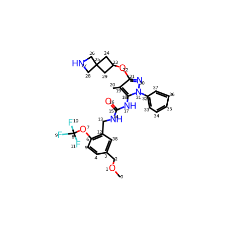 COCc1ccc(OC(F)(F)F)c(CNC(=O)Nc2c(C)c(OC3CC4(CNC4)C3)nn2-c2ccccc2)c1